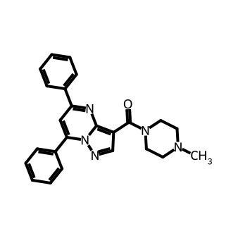 CN1CCN(C(=O)c2cnn3c(-c4ccccc4)cc(-c4ccccc4)nc23)CC1